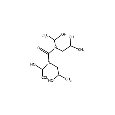 CC(O)CN(C(=O)N(CC(C)O)C(O)C(Cl)(Cl)Cl)C(O)C(Cl)(Cl)Cl